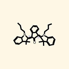 CCCCN1/C(=C2/C(=O)/C(=C3/N(CCCC)C4C=CC=CC4C3(C)C)c3ccccc32)C(C)(C)c2ccccc21